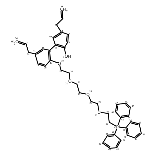 C=CCc1ccc(O)c(-c2cc(CC=C)ccc2OCCOCCOCCOCC[P+](c2ccccc2)(c2ccccc2)c2ccccc2)c1